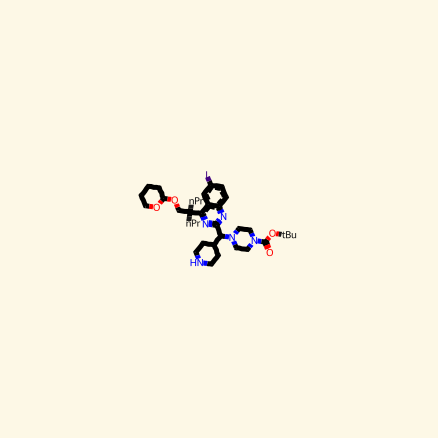 CCCC(CCC)(COC1CCCCO1)c1nc(C(C2CCNCC2)N2CCN(C(=O)OC(C)(C)C)CC2)nc2ccc(I)cc12